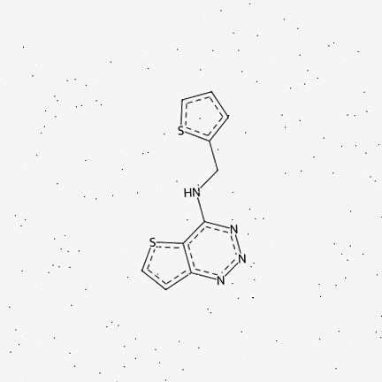 c1csc(CNc2nnnc3ccsc23)c1